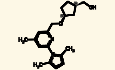 Cc1cc(CO[C@H]2CC[C@H](CO)C2)nc(-n2c(C)ccc2C)c1